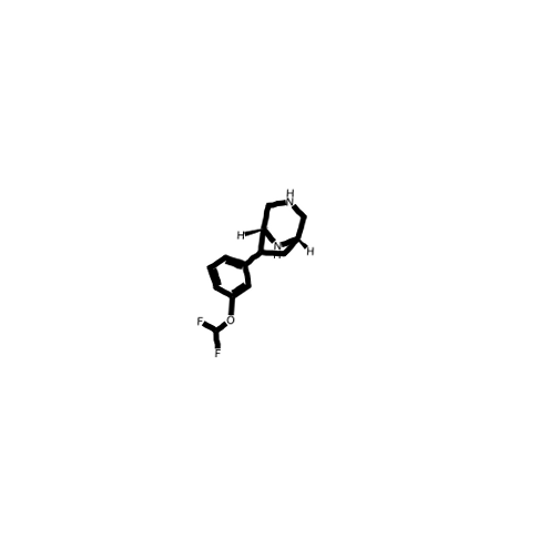 FC(F)Oc1cccc(C2C[C@H]3CNC[C@@H]2N3)c1